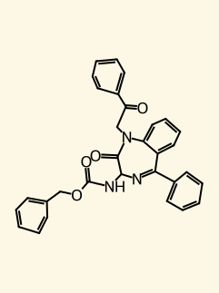 O=C(NC1N=C(c2ccccc2)c2ccccc2N(CC(=O)c2ccccc2)C1=O)OCc1ccccc1